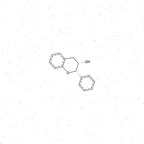 O[C@H]1Cc2ccccc2O[C@H]1c1ccccc1